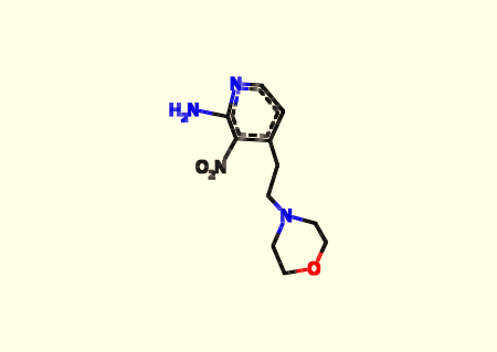 Nc1nccc(CCN2CCOCC2)c1[N+](=O)[O-]